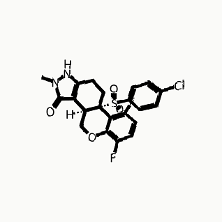 Cn1[nH]c2c(c1=O)[C@@H]1COc3c(F)ccc(F)c3[C@]1(S(=O)(=O)c1ccc(Cl)cc1)CC2